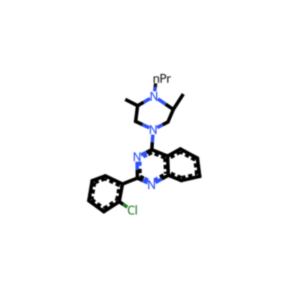 CCCN1C(C)CN(c2nc(-c3ccccc3Cl)nc3ccccc23)CC1C